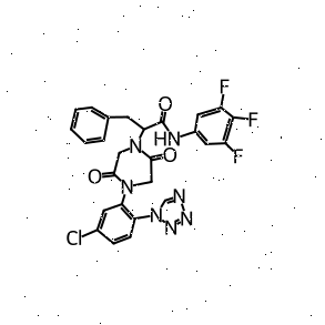 O=C(Nc1cc(F)c(F)c(F)c1)C(Cc1ccccc1)N1CC(=O)N(c2cc(Cl)ccc2-n2cnnn2)CC1=O